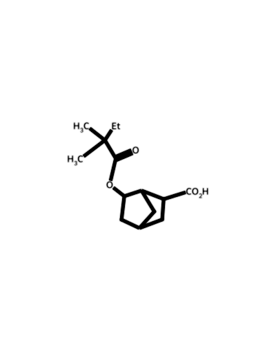 CCC(C)(C)C(=O)OC1CC2CC(C(=O)O)C1C2